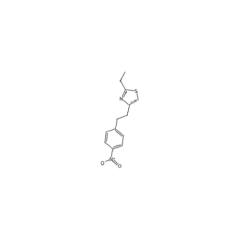 CCc1nc(CCc2ccc([N+](=O)[O-])cc2)cs1